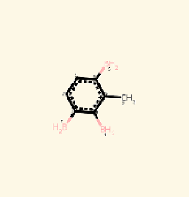 Bc1ccc(B)c(C)c1B